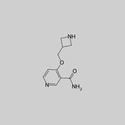 NC(=O)c1cnccc1OCC1CNC1